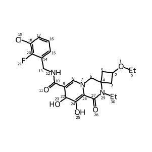 CCOC1CC2(C1)CN1C=C(C(=O)NCc3cccc(Cl)c3F)C(O)C(O)=C1C(=O)N2CC